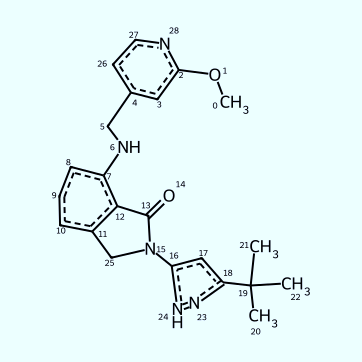 COc1cc(CNc2cccc3c2C(=O)N(c2cc(C(C)(C)C)n[nH]2)C3)ccn1